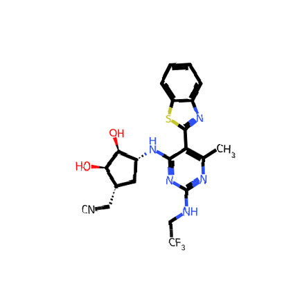 [C-]#[N+]C[C@H]1C[C@@H](Nc2nc(NCC(F)(F)F)nc(C)c2-c2nc3ccccc3s2)[C@H](O)[C@@H]1O